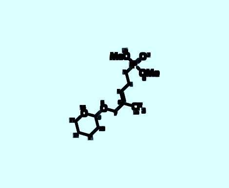 COP(=O)(CCC=C(COC1CCCCO1)C(F)(F)F)OC